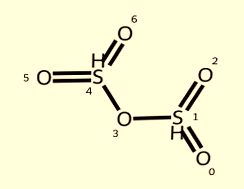 O=[SH](=O)O[SH](=O)=O